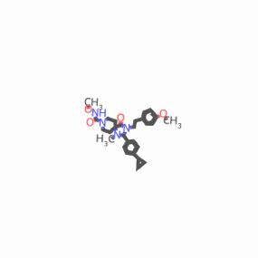 CONC(=O)N1CCC2(CC1)C(=O)N(CCc1ccc(OC)cc1)C(c1ccc(C3CC3)cc1)N2C